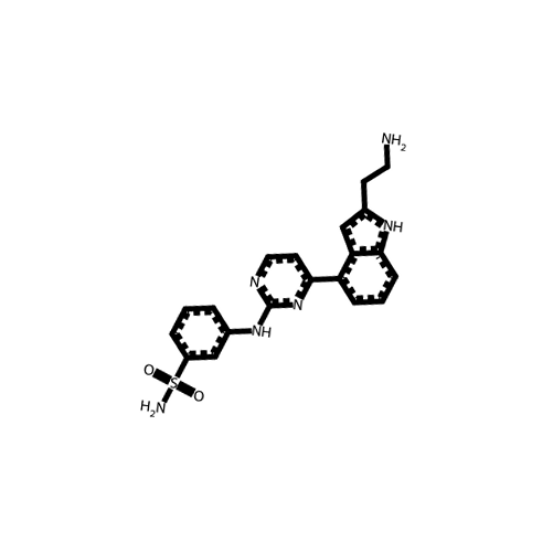 NCCc1cc2c(-c3ccnc(Nc4cccc(S(N)(=O)=O)c4)n3)cccc2[nH]1